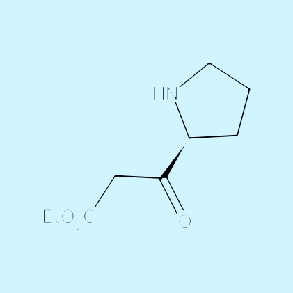 CCOC(=O)CC(=O)[C@@H]1CCCN1